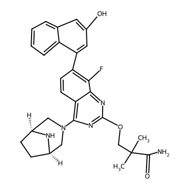 CC(C)(COc1nc(N2C[C@H]3CC[C@@H](C2)N3)c2ccc(-c3cc(O)cc4ccccc34)c(F)c2n1)C(N)=O